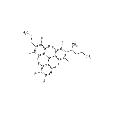 CCCc1c(F)c(F)c(N(c2c(F)cc(F)c(F)c2F)c2c(F)c(F)c(C(C)CCC)c(F)c2F)c(F)c1F